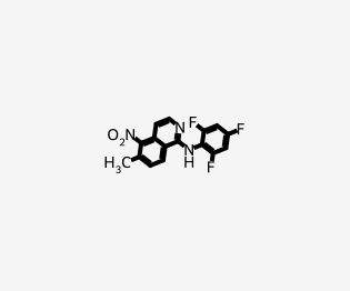 Cc1ccc2c(Nc3c(F)cc(F)cc3F)nccc2c1[N+](=O)[O-]